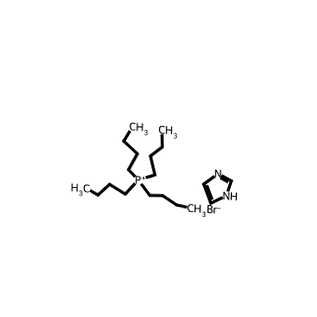 CCCC[P+](CCCC)(CCCC)CCCC.[Br-].c1c[nH]cn1